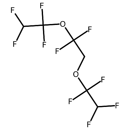 FC(F)C(F)(F)OCC(F)(F)OC(F)(F)C(F)F